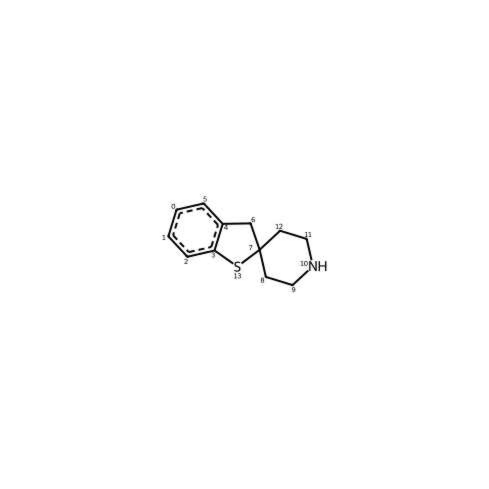 c1ccc2c(c1)CC1(CCNCC1)S2